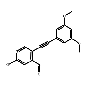 COc1cc(C#Cc2cnc(Cl)cc2C=O)cc(OC)c1